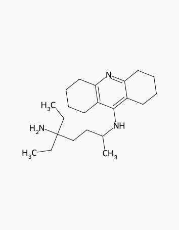 CCC(N)(CC)CCC(C)Nc1c2c(nc3c1CCCC3)CCCC2